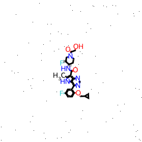 Cc1[nH]c2c(-c3cc(F)ccc3OCC3CC3)ncnc2c1C(=O)N[C@H]1CCN(C(=O)CO)C[C@H]1F